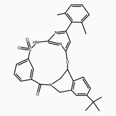 Cc1cccc(C)c1-c1cc2nc(n1)NS(=O)(=O)c1cccc(c1)C(=O)N1Cc3cc(C(C)(C)C)ccc3C(C1)O2